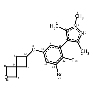 Cc1nn(C)c(C)c1-c1cc(OC2CC3(COC3)C2)cc(Br)c1F